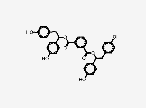 O=C(OC(Cc1ccc(O)cc1)c1ccc(O)cc1)c1cccc(C(=O)OC(Cc2ccc(O)cc2)c2ccc(O)cc2)c1